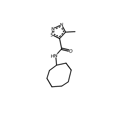 Cc1nnsc1C(=O)NC1CCCCCCC1